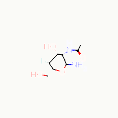 CC(=O)N[C@H]1C(N)O[C@H](CO)[C@@H](F)[C@@H]1O